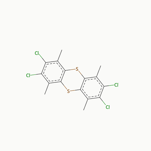 Cc1c(Cl)c(Cl)c(C)c2c1Sc1c(C)c(Cl)c(Cl)c(C)c1S2